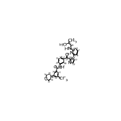 CC(O)CNc1nccc(-n2ccnc2C(=O)c2cccc(NC(=O)c3cc(N4CCOCC4)cc(C(F)(F)F)c3)c2)n1